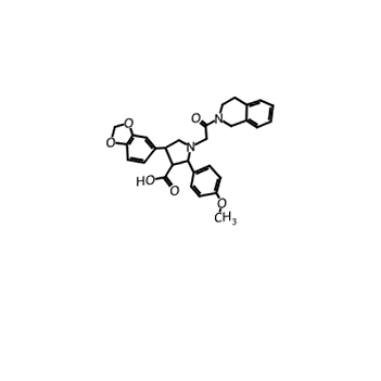 COc1ccc(C2C(C(=O)O)C(c3ccc4c(c3)OCO4)CN2CC(=O)N2CCc3ccccc3C2)cc1